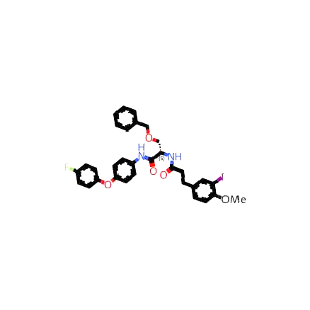 COc1ccc(CCC(=O)N[C@@H](COCc2ccccc2)C(=O)Nc2ccc(Oc3ccc(F)cc3)cc2)cc1I